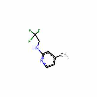 Cc1ccnc(NCC(F)(F)F)c1